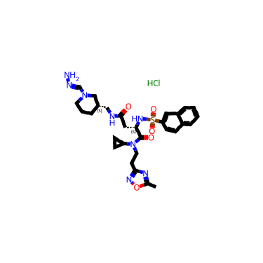 Cc1nc(CCN(C(=O)[C@H](CC(=O)NC[C@@H]2CCCN(C=NN)C2)NS(=O)(=O)c2ccc3ccccc3c2)C2CC2)no1.Cl